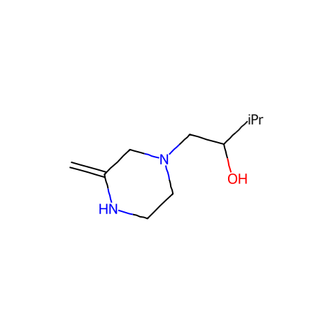 C=C1CN(CC(O)C(C)C)CCN1